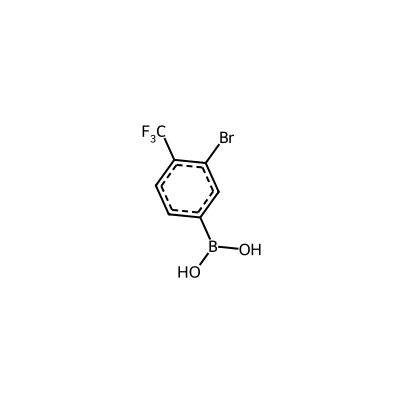 OB(O)c1ccc(C(F)(F)F)c(Br)c1